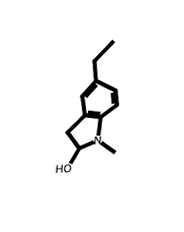 CCc1ccc2c(c1)CC(O)N2C